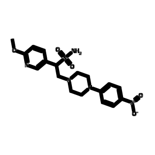 COc1ccc(C(CN2CCN(c3ccc([N+](=O)[O-])cc3)CC2)S(N)(=O)=O)cn1